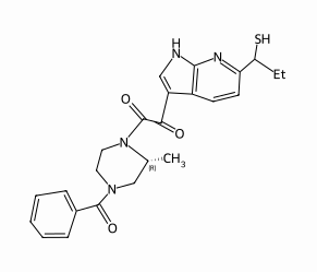 CCC(S)c1ccc2c(C(=O)C(=O)N3CCN(C(=O)c4ccccc4)C[C@H]3C)c[nH]c2n1